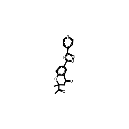 CC(=O)C1(C)CC(=O)c2cc(-c3nc(-c4ccncc4)no3)ccc2O1